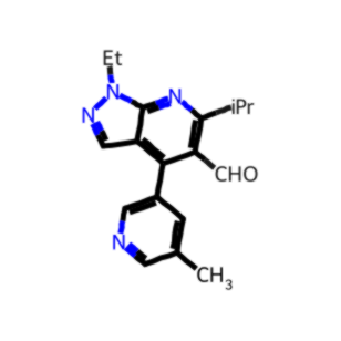 CCn1ncc2c(-c3cncc(C)c3)c(C=O)c(C(C)C)nc21